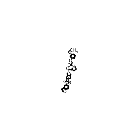 COc1cccc(OCC(=O)N2CCC[C@H]2C(=O)N2CC3=C(C2)CN(S(=O)(=O)c2ccc4occc4c2)C3)c1